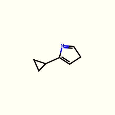 C1=NC(C2CC2)=CC1